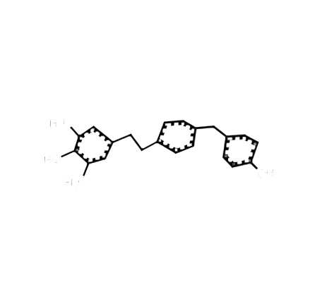 Cc1cc(CCc2ccc(Cc3ccc(O)cc3)cc2)cc(C)c1O